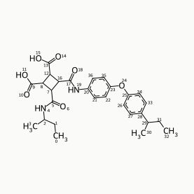 CCC(C)NC(=O)C1C(C(=O)O)C(C(=O)O)C1C(=O)Nc1ccc(Oc2ccc(C(C)CC)cc2)cc1